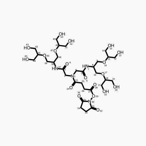 O=C(CN(CC(=O)NC(COC(CO)CO)COC(CO)CO)C(=O)CCC(=O)ON1C(=O)CCC1=O)NC(COC(CO)CO)COC(CO)CO